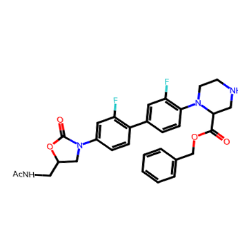 CC(=O)NCC1CN(c2ccc(-c3ccc(N4CCNCC4C(=O)OCc4ccccc4)c(F)c3)c(F)c2)C(=O)O1